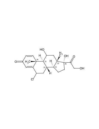 C[C@]12C=CC(=O)C=C1C(Cl)C[C@@H]1[C@@H]2C(O)C[C@@]2(C)[C@H]1CC[C@]2(O)C(=O)CO